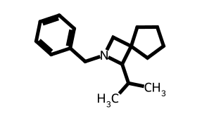 CC(C)C1N(Cc2ccccc2)CC12CCCC2